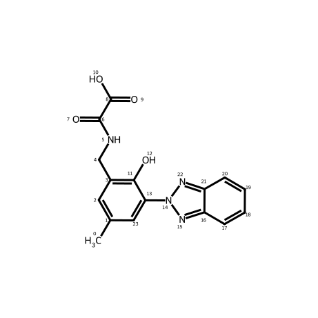 Cc1cc(CNC(=O)C(=O)O)c(O)c(-n2nc3ccccc3n2)c1